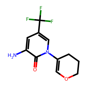 Nc1cc(C(F)(F)F)cn(C2=COCCC2)c1=O